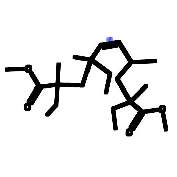 CCC(C)(/C=C\C(C)CC(C)(CC)C(=O)OC)CC(C)(CC)C(=O)OC